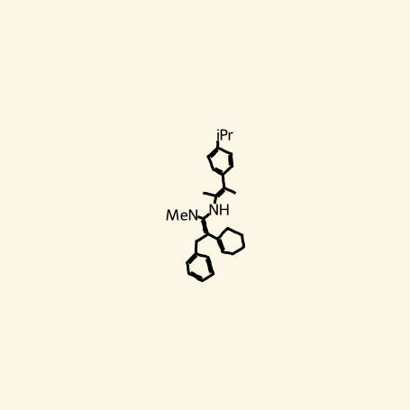 CN/C(N/C(C)=C(\C)c1ccc(C(C)C)cc1)=C(\Cc1ccccc1)C1=CCCCC1